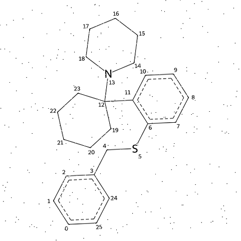 c1ccc(CSc2ccccc2C2(N3CCCCC3)CCCCC2)cc1